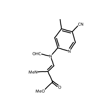 CN/C(=C\N(C=O)c1cc(C)c(C#N)cn1)C(=O)OC